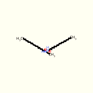 CCCCCC=CCC=CCC=CCC=CCCCC(=O)NC(CCC)NC(=O)CCCC=CCC=CCC=CCC=CCCCCC